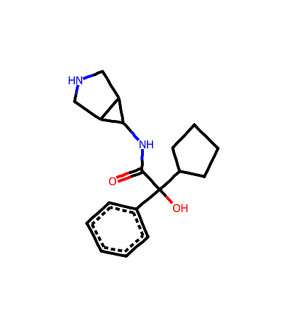 O=C(NC1C2CNCC21)C(O)(c1ccccc1)C1CCCC1